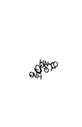 CONc1ccc(OS(=O)NC2COCC2C)cc1